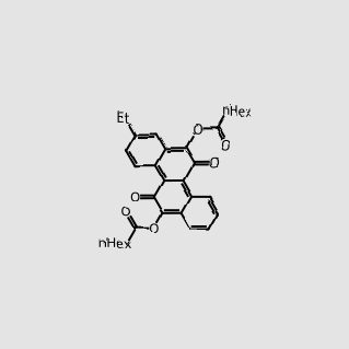 CCCCCCC(=O)OC1=c2ccccc2=C2C(=O)C(OC(=O)CCCCCC)=c3cc(CC)ccc3=C2C1=O